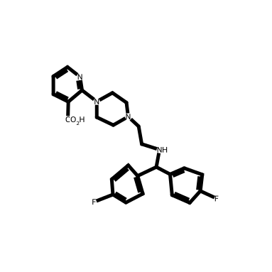 O=C(O)c1cccnc1N1CCN(CCNC(c2ccc(F)cc2)c2ccc(F)cc2)CC1